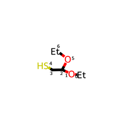 CCOC(CS)OCC